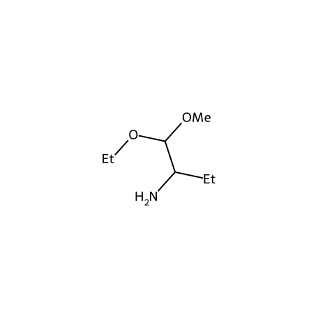 CCOC(OC)C(N)CC